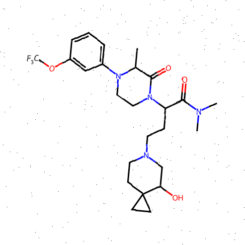 CC1C(=O)N(C(CCN2CCC3(CC3)C(O)C2)C(=O)N(C)C)CCN1c1cccc(OC(F)(F)F)c1